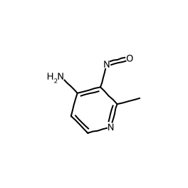 Cc1nccc(N)c1N=O